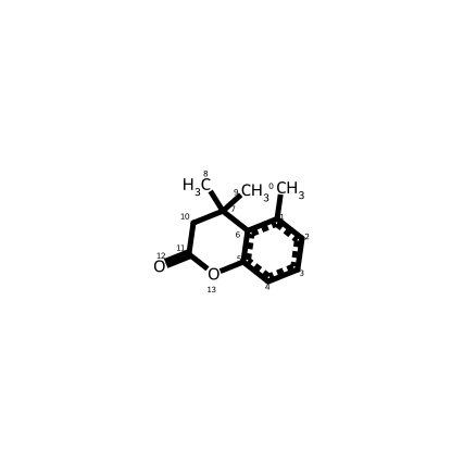 Cc1cccc2c1C(C)(C)CC(=O)O2